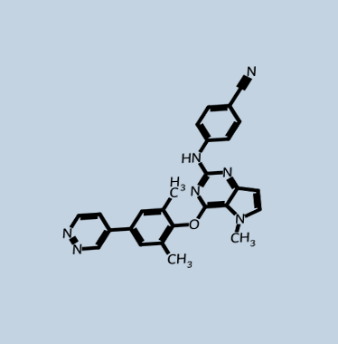 Cc1cc(-c2ccnnc2)cc(C)c1Oc1nc(Nc2ccc(C#N)cc2)nc2ccn(C)c12